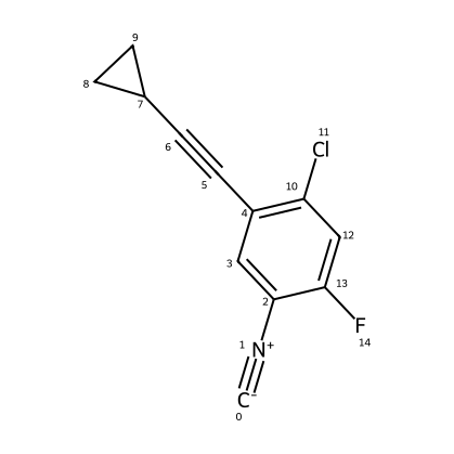 [C-]#[N+]c1cc(C#CC2CC2)c(Cl)cc1F